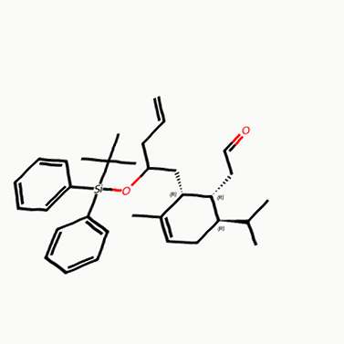 C=CCC(C[C@H]1C(C)=CC[C@H](C(C)C)[C@H]1CC=O)O[Si](c1ccccc1)(c1ccccc1)C(C)(C)C